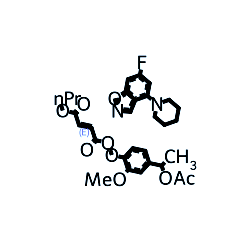 CCCOC(=O)/C=C/C(=O)OOc1ccc(C(C)OC(C)=O)cc1OC.Fc1cc(N2CCCCC2)c2cnoc2c1